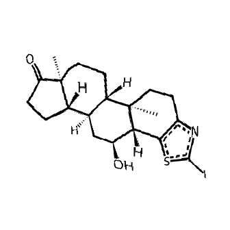 C[C@]12CCc3nc(I)sc3[C@@H]1[C@@H](O)C[C@@H]1[C@@H]2CC[C@]2(C)C(=O)CC[C@@H]12